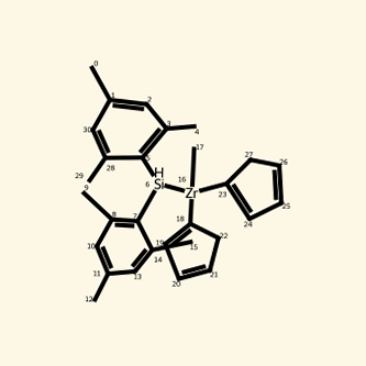 Cc1cc(C)c([SiH](c2c(C)cc(C)cc2C)[Zr]([CH3])([C]2=CC=CC2)[C]2=CC=CC2)c(C)c1